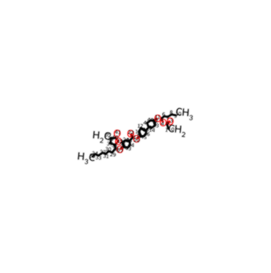 C=CC(=O)OC(CCCCC)OC1=CC=C(C2=CC=C(OC(=O)C3=CC=C(OC(CCCCCCC)C4CC(=C)C(=O)O4)CC3)CC2)CC1